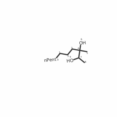 CCCCCCCCC(C)(O)C(C)O